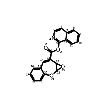 O=C(Oc1nccc2ccccc12)C1=Cc2ccccc2OC2OC12